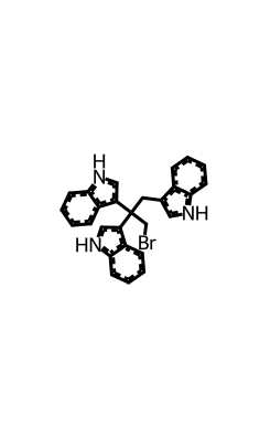 BrCC(Cc1c[nH]c2ccccc12)(c1c[nH]c2ccccc12)c1c[nH]c2ccccc12